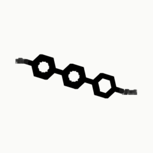 CCCCCC1CC=C(c2ccc(-c3ccc(CCCC)cc3)cc2)CC1